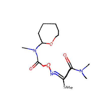 CSC(=NOC(=O)N(C)C1CCCCO1)C(=O)N(C)C